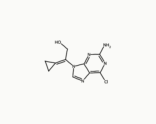 Nc1nc(Cl)c2ncn(C(CO)=C3CC3)c2n1